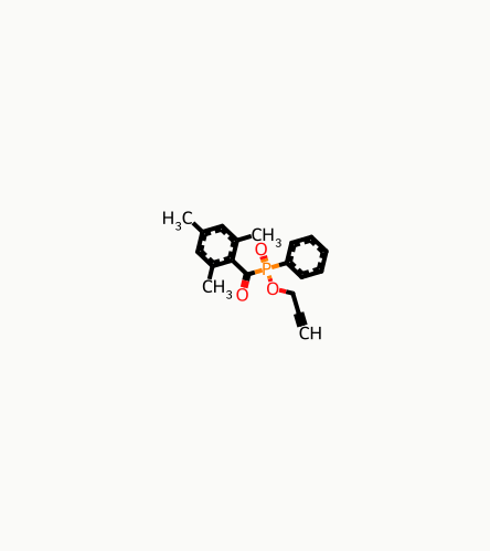 C#CCOP(=O)(C(=O)c1c(C)cc(C)cc1C)c1ccccc1